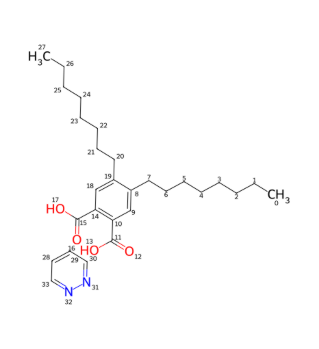 CCCCCCCCc1cc(C(=O)O)c(C(=O)O)cc1CCCCCCCC.c1ccnnc1